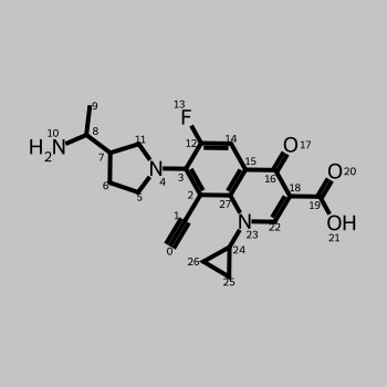 C#Cc1c(N2CCC(C(C)N)C2)c(F)cc2c(=O)c(C(=O)O)cn(C3CC3)c12